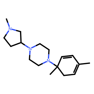 CC1=CCC(C)(N2CCN(C3CCN(C)C3)CC2)C=C1